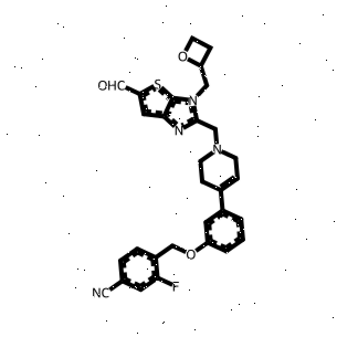 N#Cc1ccc(COc2cccc(C3=CCN(Cc4nc5cc(C=O)sc5n4CC4CCO4)CC3)c2)c(F)c1